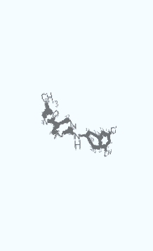 Cc1cnc(-c2cnc(NC3Cc4cc(Cl)cc(C#N)c4C3)nc2)o1